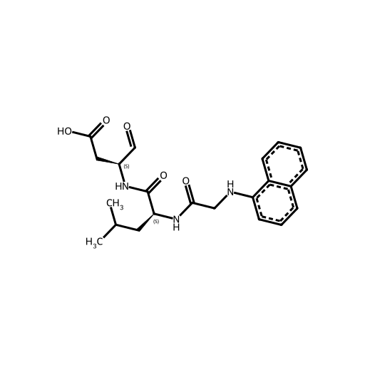 CC(C)C[C@H](NC(=O)CNc1cccc2ccccc12)C(=O)N[C@H](C=O)CC(=O)O